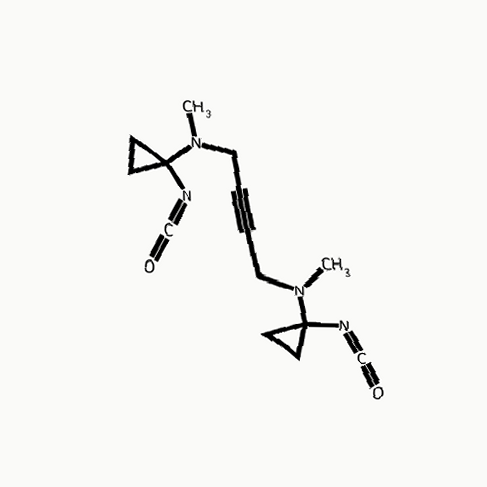 CN(CC#CCN(C)C1(N=C=O)CC1)C1(N=C=O)CC1